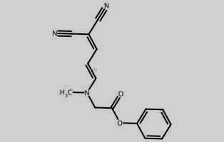 CN(/C=C/C=C(C#N)C#N)CC(=O)Oc1ccccc1